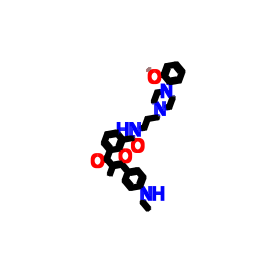 CCNc1ccc(-c2oc3c(C(=O)NCCCN4CCN(c5ccccc5OC)CC4)cccc3c(=O)c2C)cc1